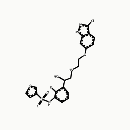 O=S(=O)(Nc1cccc(C(O)CNCCOc2ccc3c(Cl)n[nH]c3c2)c1F)c1ccsc1